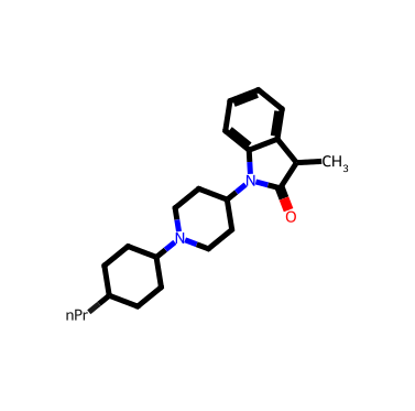 CCCC1CCC(N2CCC(N3C(=O)C(C)c4ccccc43)CC2)CC1